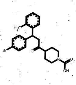 Cc1ccccc1C(CC(=O)C1CCN(C(=O)O)CC1)c1ccc(Br)cc1